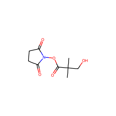 CC(C)(CO)C(=O)ON1C(=O)CCC1=O